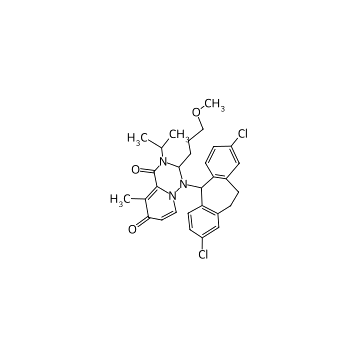 COCCCC1N(C(C)C)C(=O)c2c(C)c(=O)ccn2N1C1c2ccc(Cl)cc2CCc2cc(Cl)ccc21